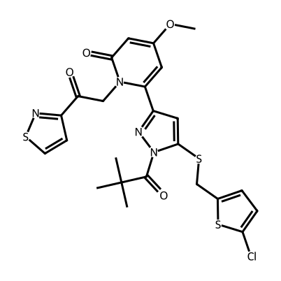 COc1cc(-c2cc(SCc3ccc(Cl)s3)n(C(=O)C(C)(C)C)n2)n(CC(=O)c2ccsn2)c(=O)c1